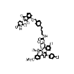 COc1ccc(C2=N[C@@H](c3ccc(Cl)cc3)[C@@H](c3ccc(Cl)cc3)N2C(=O)N2CCN(CC(=O)NCCCCc3ccc(COc4cccc5c4C(=O)N(C4CCC(=O)NC4=O)C5=O)cc3)C(=O)C2)c(OC(C)C)c1